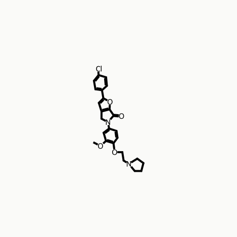 COc1cc(N2Cc3cc(-c4ccc(Cl)cc4)oc3C2=O)ccc1OCCN1CCCC1